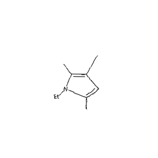 CCn1c(C)cc(C)c1C